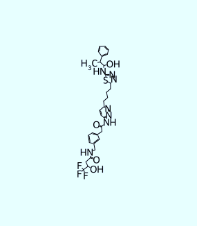 CC(c1ccccc1)C(O)Nc1nnc(CCCCc2ccc(NC(=O)Cc3cccc(CNC(=O)CC(O)C(F)(F)F)c3)nn2)s1